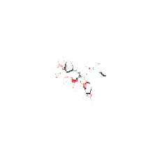 C=CCN(CC)C(=O)CN1CC(c2ccc3c(c2)OCO3)[C@H](C(=O)O)[C@H]1c1ccc(OC)cc1